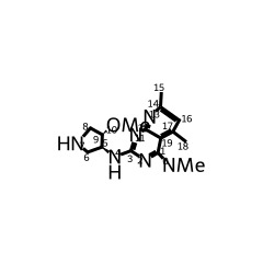 CNc1nc(N[C@H]2CNC[C@@H]2OC)nc2nc(C)cc(C)c12